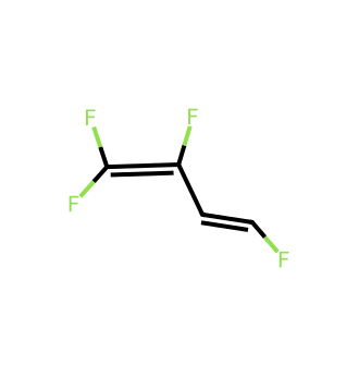 FC=CC(F)=C(F)F